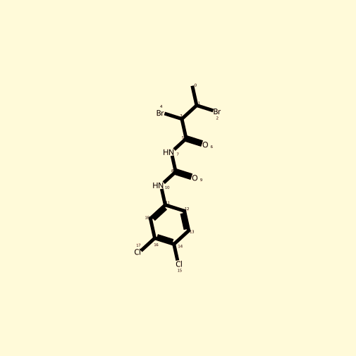 CC(Br)C(Br)C(=O)NC(=O)Nc1ccc(Cl)c(Cl)c1